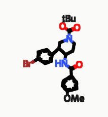 COc1ccc(C(=O)NC2CCN(C(=O)OC(C)(C)C)CC2c2ccc(Br)cc2)cc1